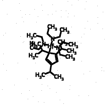 CC[N](CC)[Hf]([N](CC)CC)([N](CC)CC)[C]1(C(C)C)C=C(C(C)C)C=C1C(C)C